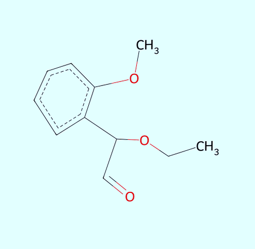 CCOC(C=O)c1ccccc1OC